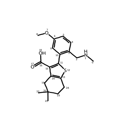 CNCc1ccc(OC)cc1-c1sc2c(c1C(=O)O)CC(C)(C)CC2